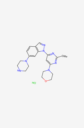 COc1nc(N2CCOCC2)cc(-n2ncc3ccc(N4CCNCC4)cc32)n1.Cl